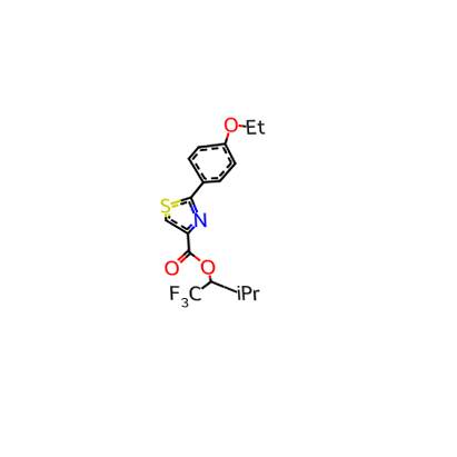 CCOc1ccc(-c2nc(C(=O)OC(C(C)C)C(F)(F)F)cs2)cc1